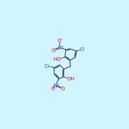 O=[N+]([O-])c1cc(Cl)cc(Cc2cc(Cl)cc([N+](=O)[O-])c2O)c1O